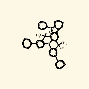 CC1(C)c2cc(-c3ccccc3)ccc2N2c3ccc(-c4ccccc4)cc3C(C)(C)c3c2c1cc1c2ccccc2n(-c2ccccc2)c31